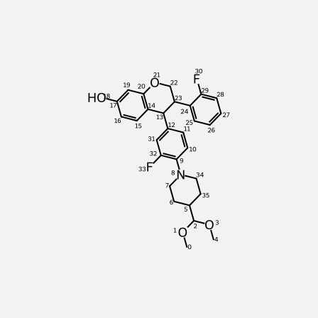 COC(OC)C1CCN(c2ccc(C3c4ccc(O)cc4OCC3c3ccccc3F)cc2F)CC1